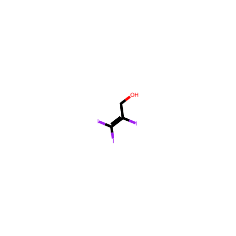 OCC(I)=C(I)I